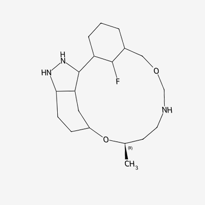 C[C@@H]1CCNCOCC2CCCC(C2F)C2NNC3CCC(CC32)O1